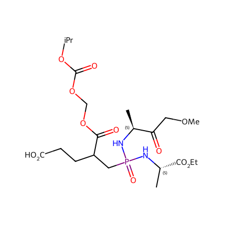 CCOC(=O)[C@H](C)NP(=O)(CC(CCC(=O)O)C(=O)OCOC(=O)OC(C)C)N[C@@H](C)C(=O)COC